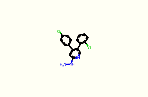 NNc1cc(-c2ccc(Cl)cc2)c(-c2ccccc2Cl)cn1